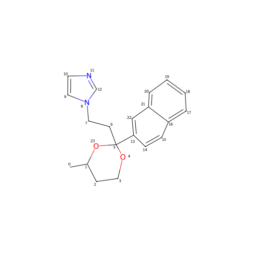 CC1CCOC(CCn2ccnc2)(c2ccc3ccccc3c2)O1